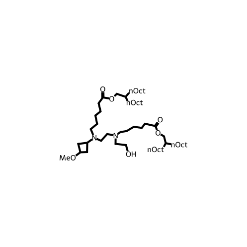 CCCCCCCCC(CCCCCCCC)COC(=O)CCCCCN(CCO)CCN(CCCCCC(=O)OCC(CCCCCCCC)CCCCCCCC)C1CC(OC)C1